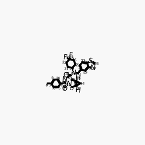 CN=[S@](=O)(c1ccc(C)cc1)N1C[C@H]2C[C@H]2[C@H]1C(=O)N(Cc1ccc2scnc2c1)C1CCC(F)(F)CC1